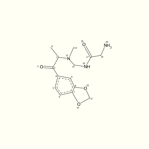 CC(C(=O)c1ccc2c(c1)OCO2)N(C)CNC(=O)CN